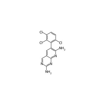 Nc1ncc2cc(-c3c(Cl)ccc(Cl)c3Cl)c(N)nc2n1